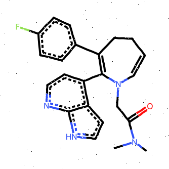 CN(C)C(=O)CN1C=CCCC(c2ccc(F)cc2)=C1c1ccnc2[nH]ccc12